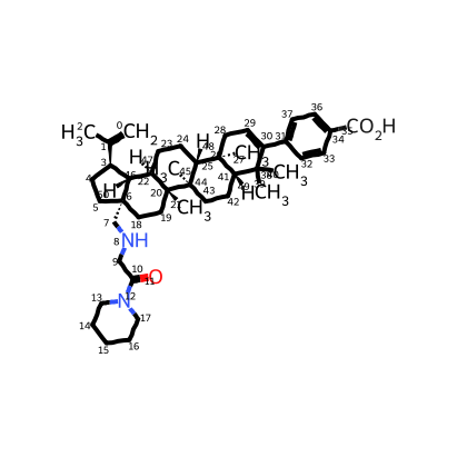 C=C(C)[C@@H]1CC[C@]2(CNCC(=O)N3CCCCC3)CC[C@]3(C)[C@H](CC[C@@H]4[C@@]5(C)CC=C(c6ccc(C(=O)O)cc6)C(C)(C)[C@@H]5CC[C@]43C)[C@@H]12